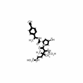 C#Cc1ccc(C(C)NC(=O)[C@@H]2C[C@@H](O)CN2C(=O)C(NC(=O)O)C(C)(C)CCNC(=O)O)cc1